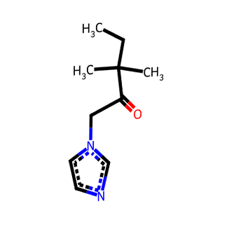 CCC(C)(C)C(=O)Cn1ccnc1